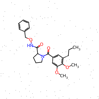 CCCc1cc(C(=O)N2CCCC2C(=O)NOCc2ccccc2)cc(OC)c1OC